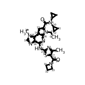 CCn1c(C(=O)N(C2CC2)C2CC2)cc2c3c(ncn3C)c(Nc3nc(C)c(C(=O)N4CCC4)s3)nc21